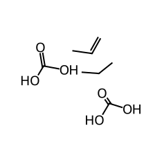 C=CC.CCC.O=C(O)O.O=C(O)O